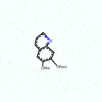 CCCCCc1cc2ncccc2cc1OC